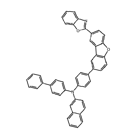 c1ccc(-c2ccc(N(c3ccc(-c4ccc5oc6ccc(-c7nc8ccccc8o7)cc6c5c4)cc3)c3ccc4ccccc4c3)cc2)cc1